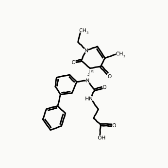 CCN1C=C(C)C(=O)[C@H](N(C(=O)NCCC(=O)O)c2cccc(-c3ccccc3)c2)C1=O